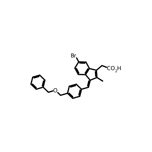 CC1=C(CC(=O)O)c2cc(Br)ccc2/C1=C\c1ccc(COCc2ccccc2)cc1